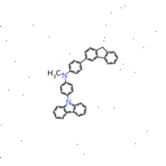 CN(c1ccc(-c2ccc3c(c2)-c2ccccc2C3)cc1)c1ccc(-n2c3ccccc3c3ccccc32)cc1